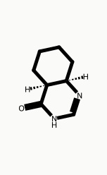 O=C1NC=N[C@@H]2CCCC[C@H]12